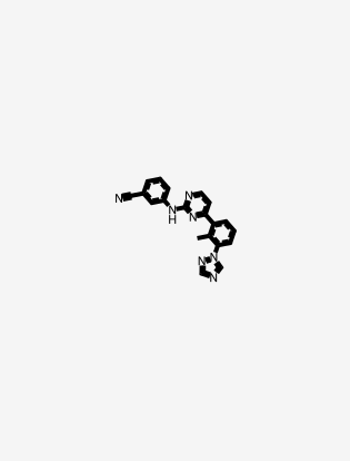 Cc1c(-c2ccnc(Nc3cccc(C#N)c3)n2)cccc1-n1cncn1